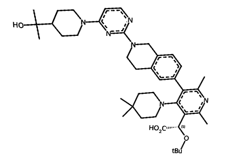 Cc1nc(C)c([C@H](OC(C)(C)C)C(=O)O)c(N2CCC(C)(C)CC2)c1-c1ccc2c(c1)CCN(c1nccc(N3CCC(C(C)(C)O)CC3)n1)C2